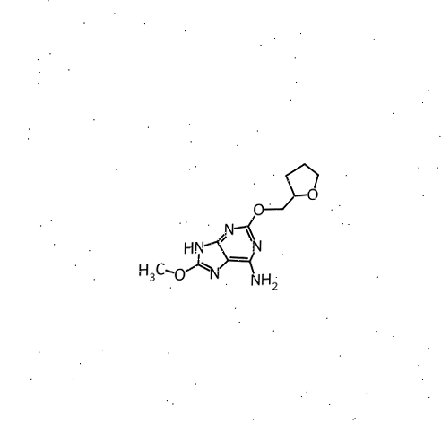 COc1nc2c(N)nc(OCC3CCCO3)nc2[nH]1